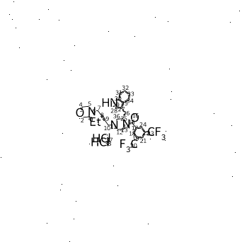 CC[C@H]1COCCN1CC#CCN1CCN(C(=O)c2cc(C(F)(F)F)cc(C(F)(F)F)c2)[C@H](Cc2c[nH]c3ccccc23)C1.Cl.Cl